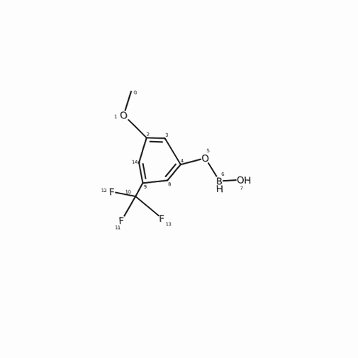 COc1cc(OBO)cc(C(F)(F)F)c1